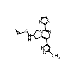 Cc1cc(C2=C3CC(NSC4CC4)CN3C(c3nccs3)=NC2)no1